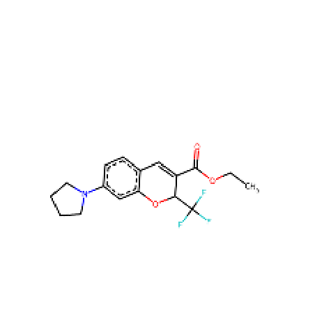 CCOC(=O)C1=Cc2ccc(N3CCCC3)cc2OC1C(F)(F)F